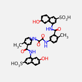 Cc1ccc(NC(=O)C(=O)Nc2ccc(C)c(C(=O)Nc3cc(S(=O)(=O)O)cc4ccc(O)cc34)c2)cc1C(=O)Nc1cc(S(=O)(=O)O)cc2ccc(O)cc12